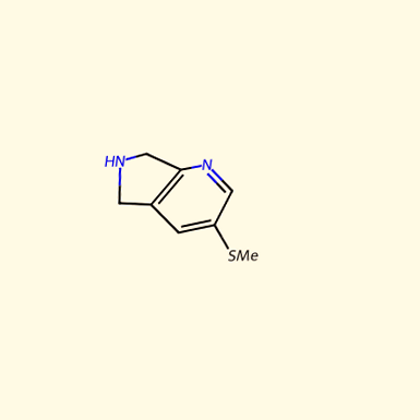 CSc1cnc2c(c1)CNC2